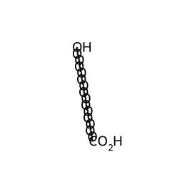 O=C(O)COCCOCCOCCOCCOCCOCCOCCOCCOCCOCCOCCOCCOCCOCCO